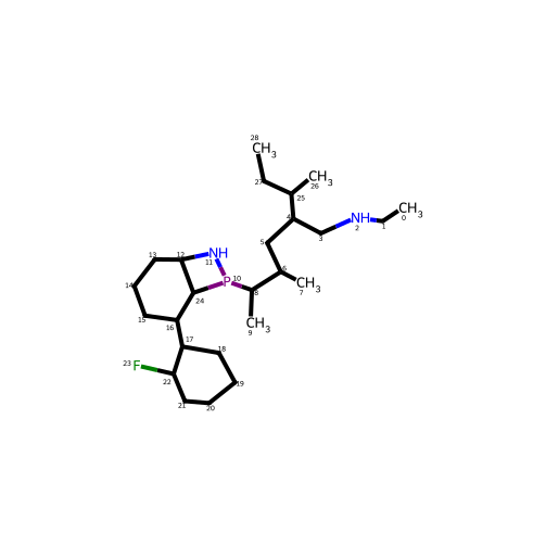 CCNCC(CC(C)C(C)P1NC2CCCC(C3CCCCC3F)C21)C(C)CC